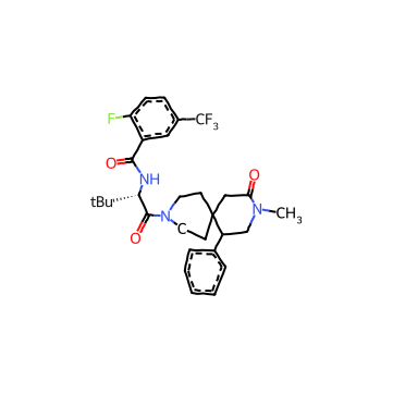 CN1CC(c2ccccc2)C2(CCN(C(=O)[C@@H](NC(=O)c3cc(C(F)(F)F)ccc3F)C(C)(C)C)CC2)CC1=O